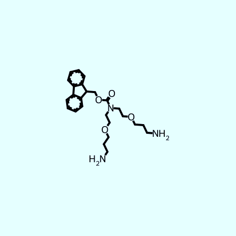 NCCCOCCN(CCOCCCN)C(=O)OCC1c2ccccc2-c2ccccc21